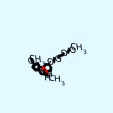 COCCOCCOCCO[C@H]1CC[C@H]2[C@H]3Cc4ccc(OC)cc4[C@@]2(CCN3C)C1